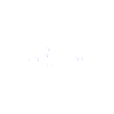 Cl.NC(=O)CCCCn1ccc(N)n1